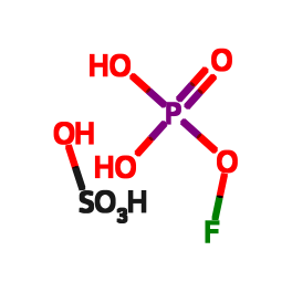 O=P(O)(O)OF.O=S(=O)(O)O